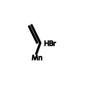 Br.C=[CH][Mn]